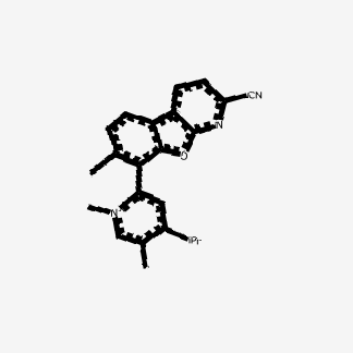 Cc1c[n+](C)c(-c2c(C)ccc3c2oc2nc(C#N)ccc23)cc1C(C)C